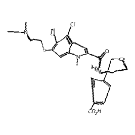 CN(C)CCOc1cc2c(cc(C(=O)NC3(c4ccc(C(=O)O)cc4)CCOC3)n2C)c(Cl)c1Cl